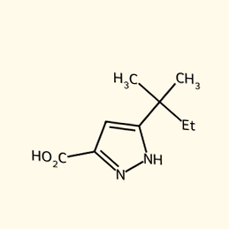 CCC(C)(C)c1cc(C(=O)O)n[nH]1